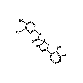 CC1(C(=O)Nc2ccc(C#N)c(C(F)(F)F)c2)CC(c2cccc(F)c2O)=NN1